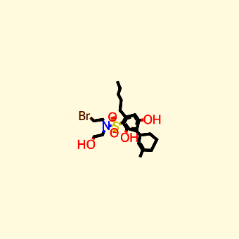 CCCCCc1cc(O)c(C2C=C(C)CCC2)c(O)c1S(=O)(=O)N(CCO)CCBr